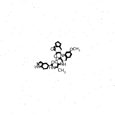 COc1ccc(C[C@H](NC(=O)[C@@H](C)NC(=O)[C@H]2CCc3[nH]ncc3C2)C(=O)N[C@@H](CC2CCCC2)C(=O)[C@H]2CO2)cc1